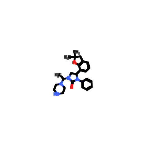 CC(N1CCNCC1)N1CC(c2cccc3c2OC(C)(C)C3)N(c2ccccc2)C1=O